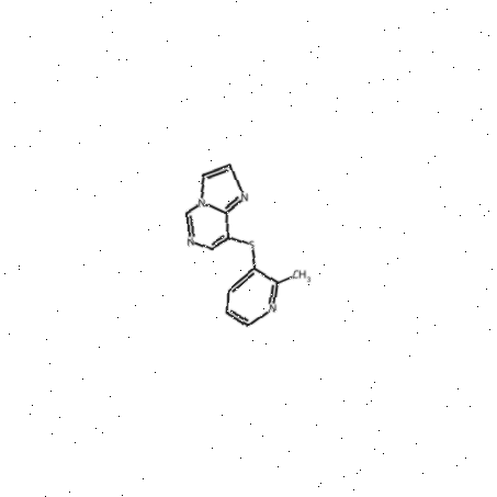 Cc1ncccc1Sc1cncn2ccnc12